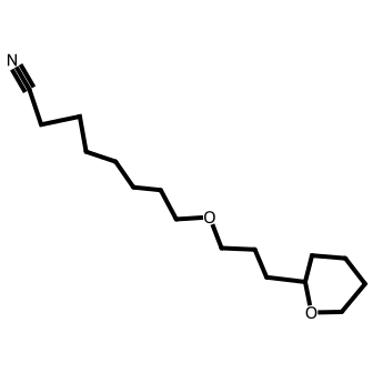 N#CCCCCCCCOCCCC1CCCCO1